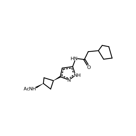 CC(=O)N[C@H]1C[C@@H](c2cc(NC(=O)CC3CCCC3)[nH]n2)C1